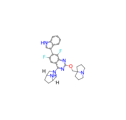 Fc1cc2c(N3C[C@H]4CC[C@@H](C3)N4)nc(OCC34CCCN3CCC4)nc2c(F)c1-c1c[nH]c2ccccc12